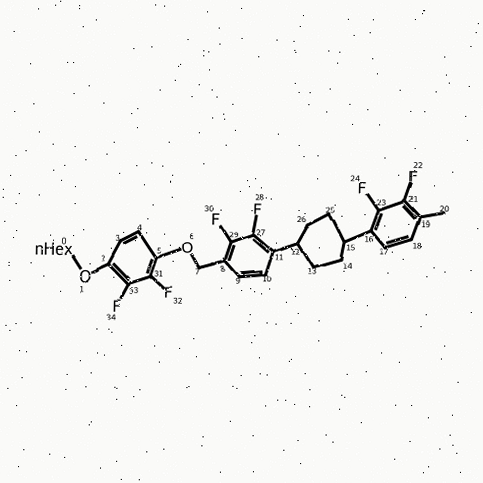 CCCCCCOc1ccc(OCc2ccc(C3CCC(c4ccc(C)c(F)c4F)CC3)c(F)c2F)c(F)c1F